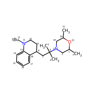 CC1CN(C(C)(C)CC2CCN(C(C)(C)C)c3ccccc32)CC(C)O1